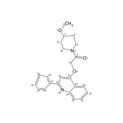 COC1CCN(C(=O)COc2cc(-c3ccccc3)nc3ccccc23)CC1